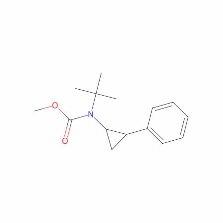 COC(=O)N(C1CC1c1ccccc1)C(C)(C)C